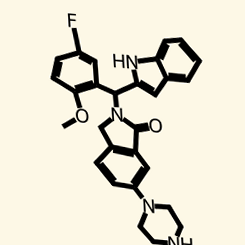 COc1ccc(F)cc1C(c1cc2ccccc2[nH]1)N1Cc2ccc(N3CCNCC3)cc2C1=O